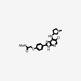 CNC(=O)COc1ccc(-c2nc3c(NC4CCN(C)C4)c(Cl)cnc3[nH]2)cc1